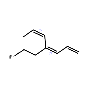 C=C/C=C(\C=C/C)CCC(C)C